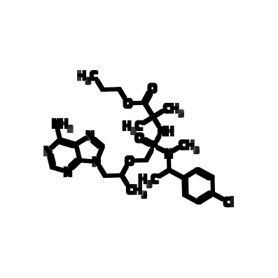 CCCOC(=O)C(C)(C)NP(=O)(COC(C)Cn1cnc2c(N)ncnc21)N(C)C(C)c1ccc(Cl)cc1